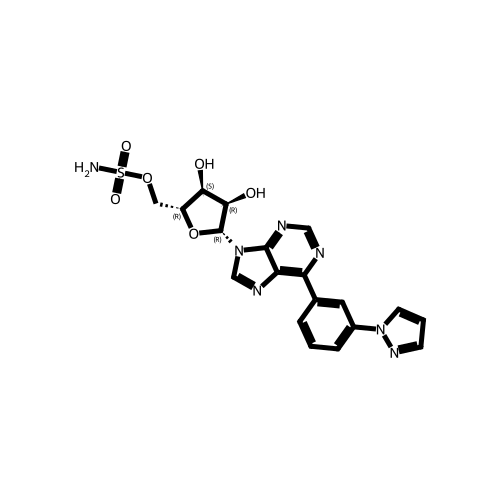 NS(=O)(=O)OC[C@H]1O[C@@H](n2cnc3c(-c4cccc(-n5cccn5)c4)ncnc32)[C@H](O)[C@@H]1O